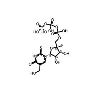 O=c1[nH]c(=S)n([C@@H]2O[C@](F)(COP(=O)(O)OP(=O)(O)OP(=O)(O)O)[C@@H](O)[C@H]2O)cc1CO